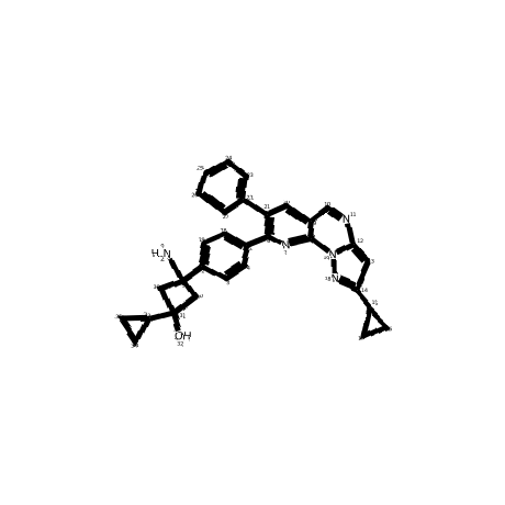 NC1(c2ccc(-c3nc4c(cnc5cc(C6CC6)nn54)cc3-c3ccccc3)cc2)CC(O)(C2CC2)C1